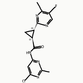 Cc1nc(Cl)cc(NC(=O)[C@H]2C[C@@H]2c2ncc(F)c(C)n2)n1